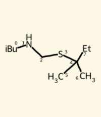 CCC(C)NCSC(C)(C)CC